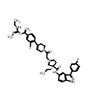 C=C(O/C(=N\C)NCC)c1ccc(C2=CCN(C(=O)CN3CC[C@@](CCC)(C(=O)Nc4ccc5[nH]nc(-c6ccc(F)cc6)c5c4)C3)CC2)c(F)c1